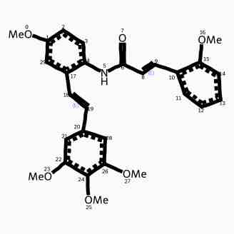 COc1ccc(NC(=O)/C=C/c2ccccc2OC)c(/C=C/c2cc(OC)c(OC)c(OC)c2)c1